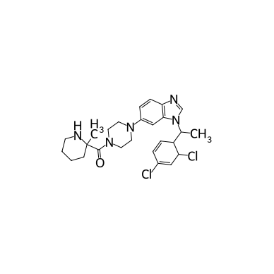 CC(C1C=CC(Cl)=CC1Cl)n1cnc2ccc(N3CCN(C(=O)C4(C)CCCCN4)CC3)cc21